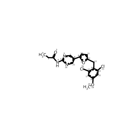 CCC(=O)Nc1ncc(-c2ccc(Cc3c(Cl)cc(OC)cc3Cl)o2)cn1